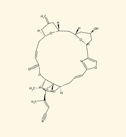 C=C1C[C@@H]2C[C@@H]3C[C@@H](O)C[C@@H](O3)c3coc(n3)/C=C/C[C@H]3O[C@@H](/C(C)=C/C#N)[C@H](C)[C@@H](OC(=O)/C=C\C[C@@H](C1)O2)[C@H]3C